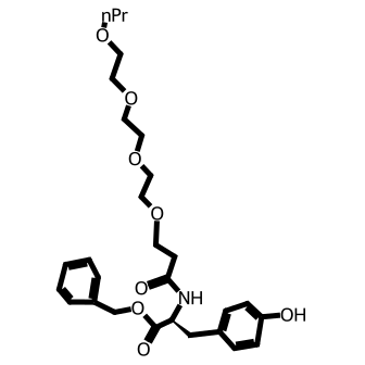 CCCOCCOCCOCCOCCC(=O)N[C@@H](Cc1ccc(O)cc1)C(=O)OCc1ccccc1